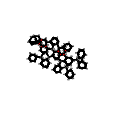 c1ccc(-c2cccc(-c3ccccc3)c2N2c3cc4c(cc3B3c5ccccc5N(c5ccccc5)c5cc(N6C7CC8CC(C7)CC6C8)cc2c53)B2c3ccccc3N(c3ccccc3)c3cc(-n5c6ccccc6c6ccccc65)cc(c32)N4c2ccccc2)cc1